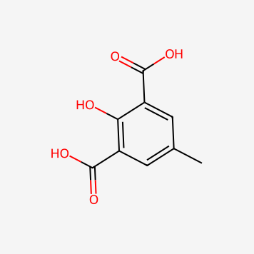 Cc1cc(C(=O)O)c(O)c(C(=O)O)c1